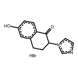 Br.O=C1c2ccc(O)cc2CCC1n1ccnc1